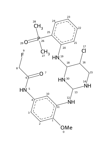 COc1ccc(NC(=O)CF)cc1NC1NCC(Cl)C(Nc2ccccc2P(C)(C)=O)N1